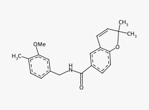 COc1cc(CNC(=O)c2ccc3c(c2)C=CC(C)(C)O3)ccc1C